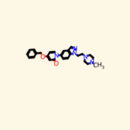 CN1CCN(CCn2ncc3cc(-n4ccc(OCc5ccccc5)cc4=O)ccc32)CC1